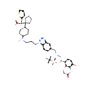 CN(CCCn1nnc2cc(CNC[C@H](O[Si](C)(C)C(C)(C)C)c3ccc(O)c4c3OCC(=O)N4)ccc21)C1CCC(C2([C@](O)(C(=O)O)c3cccs3)CCCC2)CC1